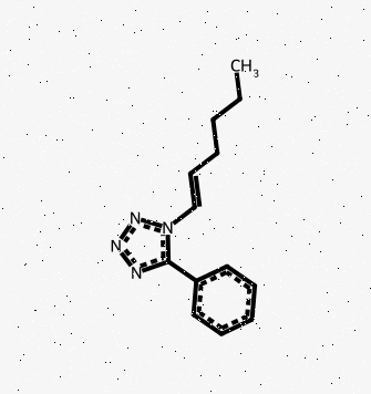 CCCCC=Cn1nnnc1-c1ccccc1